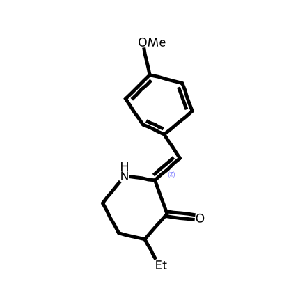 CCC1CCN/C(=C\c2ccc(OC)cc2)C1=O